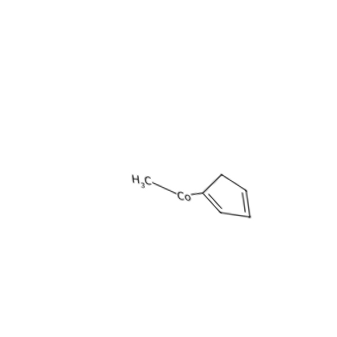 [CH3][Co][C]1=CC=CC1